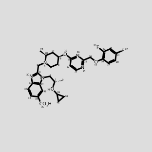 C[C@@H](Cn1c(CN2CC[C@H](Oc3ccnc(COc4ccc(F)cc4F)n3)C[C@@H]2C)nc2ccc(C(=O)O)cc21)OC1CC1